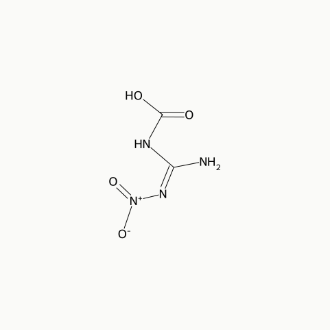 NC(=N[N+](=O)[O-])NC(=O)O